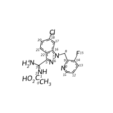 CC(=O)O.N=C(N)c1nn(Cc2ncccc2F)c2cc(Cl)ccc12